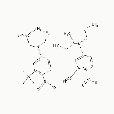 C=C(C)CN(CC)c1ccc([N+](=O)[O-])c(C(F)(F)F)c1.CCCN(c1ccc([N+](=O)[O-])c(C#N)c1)C(C)CC